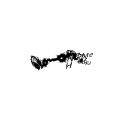 COC(=O)C(CNC(=O)OC(C)(C)C)NC(=O)c1ccc(C#CC=Cc2ccc(CN3CCOCC3)cc2)cc1